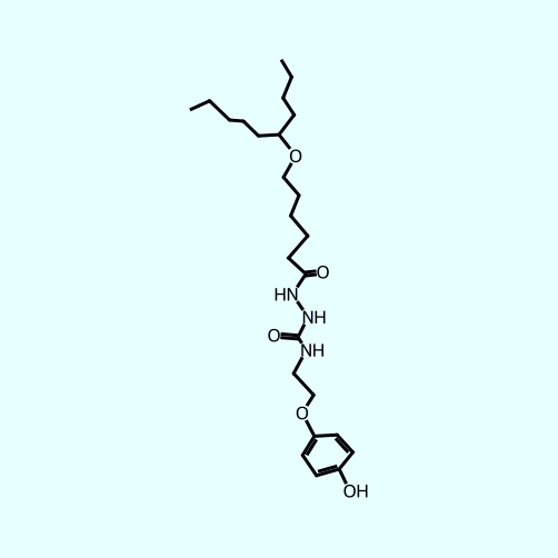 CCCCCC(CCCC)OCCCCCC(=O)NNC(=O)NCCOc1ccc(O)cc1